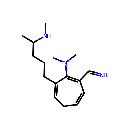 CNC(C)CCCC1=CCC=CC(C=N)=C1N(C)C